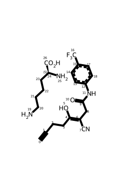 C#CCCC(O)=C(C#N)CC(=O)Nc1ccc(C(F)(F)F)cc1.NCCCC[C@H](N)C(=O)O